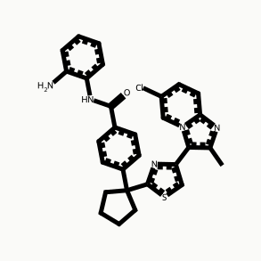 Cc1nc2ccc(Cl)cn2c1-c1csc(C2(c3ccc(C(=O)Nc4ccccc4N)cc3)CCCC2)n1